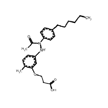 CCCCCCc1ccc(N(Nc2ccc(C)c(OCCC(=O)O)c2)C(C)=O)cc1